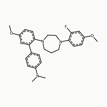 COc1ccc(N2CCCN(c3ccc(OC)nc3-c3ccc(N(C)C)cc3)CC2)c(F)c1